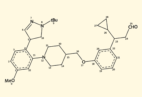 COc1ccc(C2C=NN(C(C)(C)C)C2)c(N2CCC(COc3cccc(C(CC=O)C4CC4)c3)CC2)c1